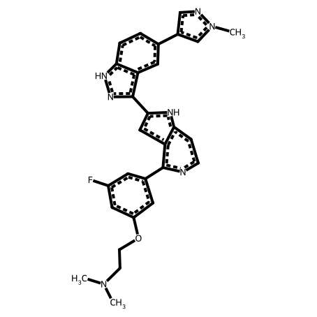 CN(C)CCOc1cc(F)cc(-c2nccc3[nH]c(-c4n[nH]c5ccc(-c6cnn(C)c6)cc45)cc23)c1